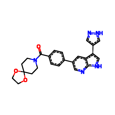 O=C(c1ccc(-c2cnc3[nH]cc(-c4cn[nH]c4)c3c2)cc1)N1CCC2(CC1)OCCO2